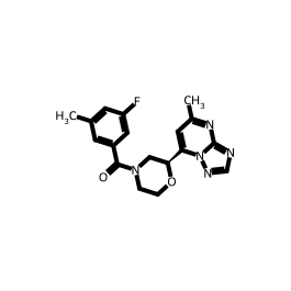 Cc1cc(F)cc(C(=O)N2CCO[C@H](c3cc(C)nc4ncnn34)C2)c1